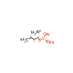 CCCCOP(O)O.[AlH3]